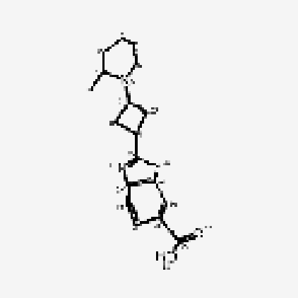 CC1CCCCN1C1CC(c2nc3ccc(C(=O)O)cc3s2)C1